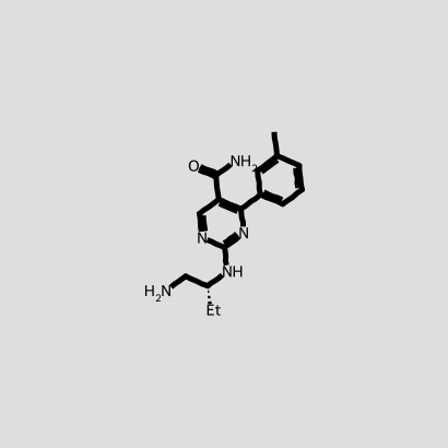 CC[C@H](CN)Nc1ncc(C(N)=O)c(-c2cccc(C)c2)n1